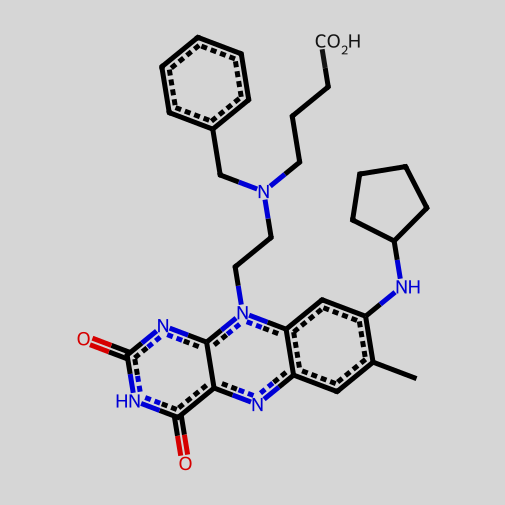 Cc1cc2nc3c(=O)[nH]c(=O)nc-3n(CCN(CCCC(=O)O)Cc3ccccc3)c2cc1NC1CCCC1